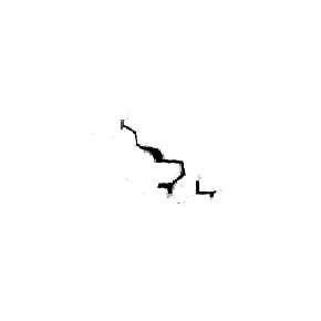 C=C(C)CC[C@@H](CC=CCCC(CC)C(=O)O)C(=C)C